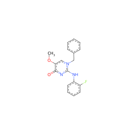 COc1cn(Cc2ccccc2)c(Nc2ccccc2F)nc1=O